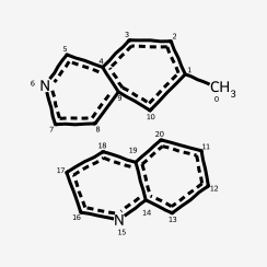 Cc1ccc2cnccc2c1.c1ccc2ncccc2c1